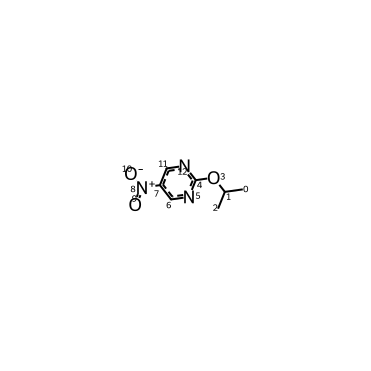 CC(C)Oc1ncc([N+](=O)[O-])cn1